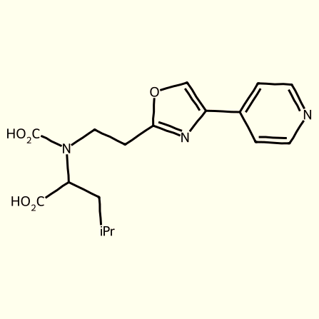 CC(C)CC(C(=O)O)N(CCc1nc(-c2ccncc2)co1)C(=O)O